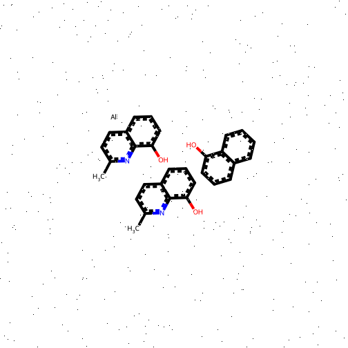 Cc1ccc2cccc(O)c2n1.Cc1ccc2cccc(O)c2n1.Oc1cccc2ccccc12.[Al]